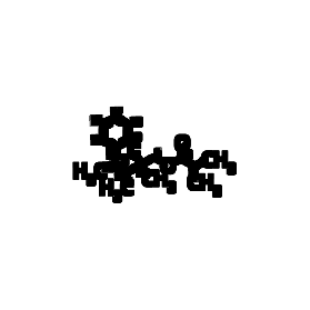 CC(C)C(=O)OCC(C)(C)[C@@H](C)[C@H](C)c1ccccc1